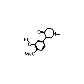 CCOc1cc(C2CN(C)CCC2=O)ccc1OC